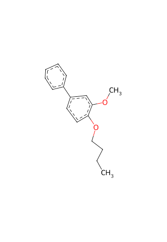 CCCCOc1ccc(-c2ccccc2)cc1OC